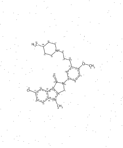 COc1ccc(N2Cc3c(c4cc(Cl)ccc4n3C)C2=O)cc1OCCN1CCC(C)CC1